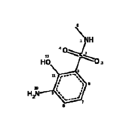 CNS(=O)(=O)c1cccc(N)c1O